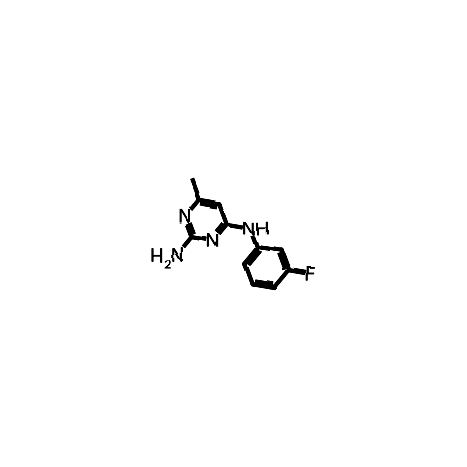 Cc1cc(Nc2cccc(F)c2)nc(N)n1